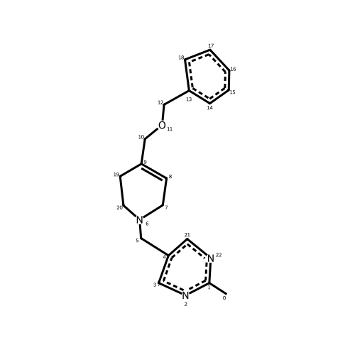 Cc1n[c]c(CN2CC=C(COCc3ccccc3)CC2)cn1